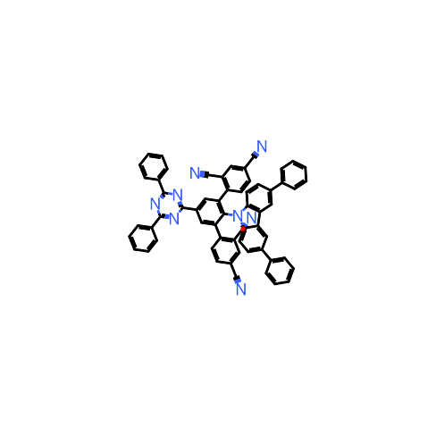 N#Cc1ccc(-c2cc(-c3nc(-c4ccccc4)nc(-c4ccccc4)n3)cc(-c3ccc(C#N)cc3C#N)c2-n2c3ccc(-c4ccccc4)cc3c3cc(-c4ccccc4)ccc32)c(C#N)c1